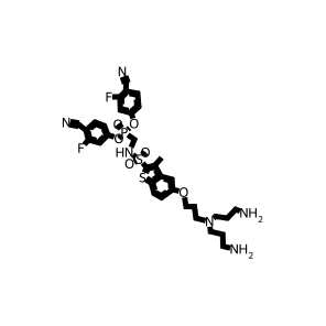 Cc1c(S(=O)(=O)NCP(=O)(Oc2ccc(C#N)c(F)c2)Oc2ccc(C#N)c(F)c2)sc2ccc(OCCCN(CCCN)CCCN)cc12